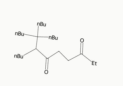 CCCCC(C(=O)CCC(=O)CC)C(CCCC)(CCCC)CCCC